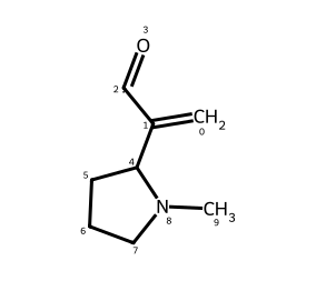 C=C([C]=O)C1CCCN1C